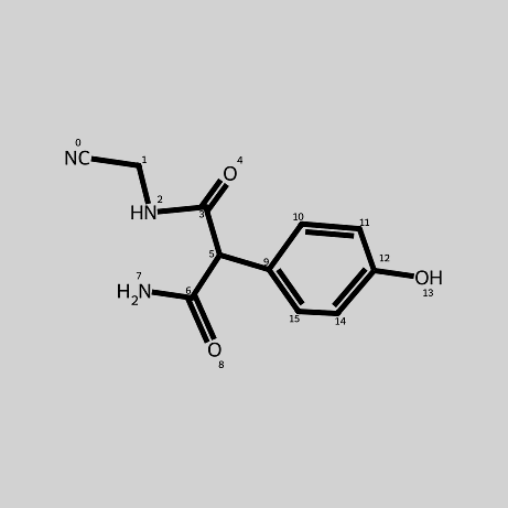 N#CCNC(=O)C(C(N)=O)c1ccc(O)cc1